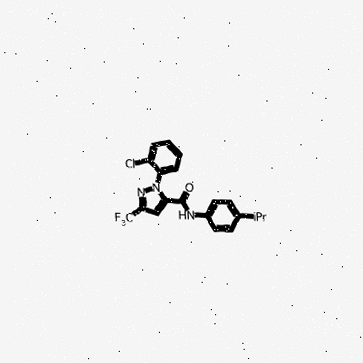 CC(C)c1ccc(NC(=O)c2cc(C(F)(F)F)nn2-c2ccccc2Cl)cc1